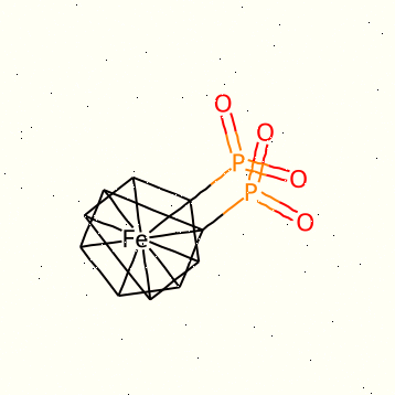 O=P(=O)[C]12[CH]3[CH]4[CH]5[CH]1[Fe]45321678[CH]2[CH]1[CH]6[C]7(P(=O)=O)[CH]28